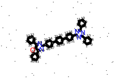 c1ccc(-c2nc(-c3ccccc3)nc(-c3ccc(-c4ccc(-c5ccc(-c6nc(-c7ccccc7)c7oc8ccccc8c7n6)cc5)cc4)cc3)n2)cc1